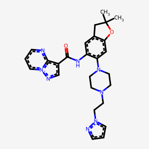 CC1(C)Cc2cc(NC(=O)c3cnn4cccnc34)c(N3CCN(CCn4cccn4)CC3)cc2O1